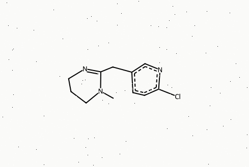 CN1CCCN=C1Cc1ccc(Cl)nc1